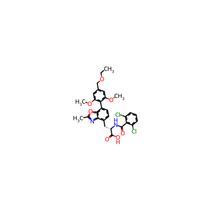 CCOCc1cc(OC)c(-c2ccc(C[C@H](NC(=O)c3c(Cl)cccc3Cl)C(=O)O)c3nc(C)oc23)c(OC)c1